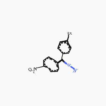 CCc1ccc(C(=[N+]=[N-])c2ccc([N+](=O)[O-])cc2)cc1